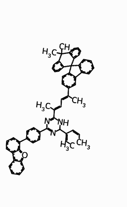 C/C=C\C(=C/C)C1N=C(c2ccc(-c3cccc4c3oc3ccccc34)cc2)N=C(/C(C)=C/C=C(\C)c2ccc3c(c2)-c2ccccc2C32c3ccccc3C(C)(C)c3ccccc32)N1